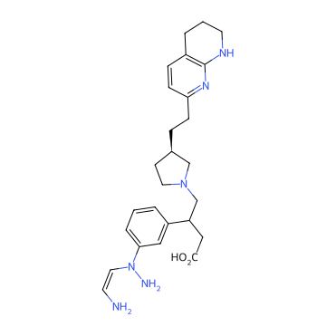 N/C=C\N(N)c1cccc(C(CC(=O)O)CN2CC[C@@H](CCc3ccc4c(n3)NCCC4)C2)c1